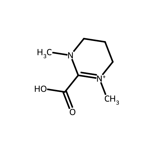 CN1CCC[N+](C)=C1C(=O)O